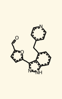 O=Cc1ccc(-c2n[nH]c3cccc(Cc4ccncc4)c23)o1